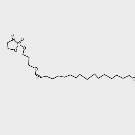 CCCCCCCCCCCCCCCC/C=C\OC[CH]COP1(=O)NCCO1